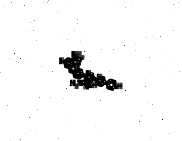 COc1c(Cc2ccc(-c3ncc(-c4ccc(C5CCNCC5)cn4)c4[nH]nc(N)c34)cc2)cc(F)cc1C(N)=O